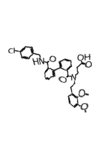 COc1cccc(CCN(CCC(=O)O)C(=O)c2ccccc2-c2ccccc2C(=O)NCc2ccc(Cl)cc2)c1OC